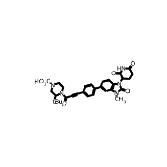 Cn1c(=O)n(C2CCC(=O)NC2=O)c2ccc(-c3ccc(C#CC(=O)N4CCN(C(=O)O)CC4C(C)(C)C)cc3)cc21